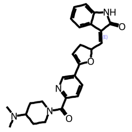 CN(C)C1CCN(C(=O)c2ccc(C3=CCC(/C=C4/C(=O)Nc5ccccc54)O3)cn2)CC1